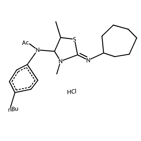 CCCCc1ccc(N(C(C)=O)C2C(C)SC(=NC3CCCCCC3)N2C)cc1.Cl